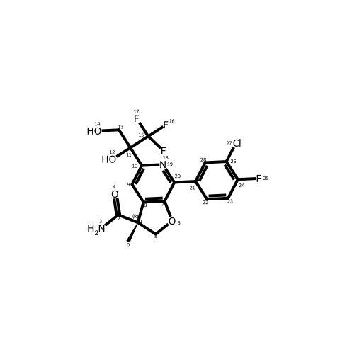 C[C@]1(C(N)=O)COc2c1cc(C(O)(CO)C(F)(F)F)nc2-c1ccc(F)c(Cl)c1